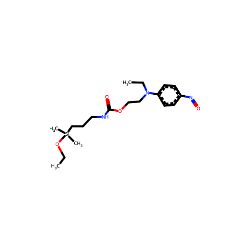 CCO[Si](C)(C)CCCNC(=O)OCCN(CC)c1ccc(N=O)cc1